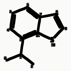 CC(C)c1cccc2[c]csc12